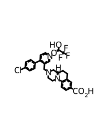 O=C(O)C(F)(F)F.O=C(O)c1ccc2c(c1)CC[C@H]1CN(Cc3cnccc3-c3ccc(Cl)cc3)CCN21